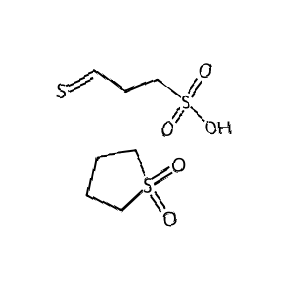 O=S(=O)(O)CCC=S.O=S1(=O)CCCC1